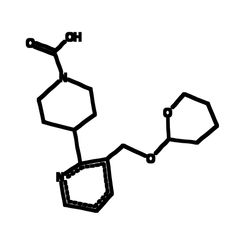 O=C(O)N1CCC(c2ncccc2COC2CCCCO2)CC1